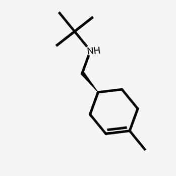 CC1=CC[C@@H](CNC(C)(C)C)CC1